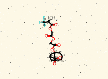 C=C(C(=O)OCC(=O)OCC(=O)OC12CC3CC(C1)OC(=O)C(C3)C2)C(F)(F)F